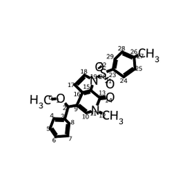 COC(c1ccccc1)c1cn(C)c(=O)c2c1ccn2S(=O)(=O)c1ccc(C)cc1